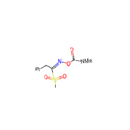 CNC(=O)ON=C(CC(C)C)S(C)(=O)=O